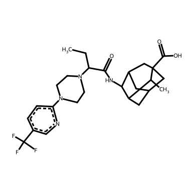 CCC(C(=O)NC1C2CC3CC1C(C)C(C(=O)O)(C3)C2)N1CCN(c2ccc(C(F)(F)F)cn2)CC1